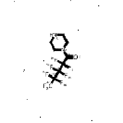 O=C(N1CCNCC1)C(F)(F)C(F)(F)C(F)(F)C(F)(F)F